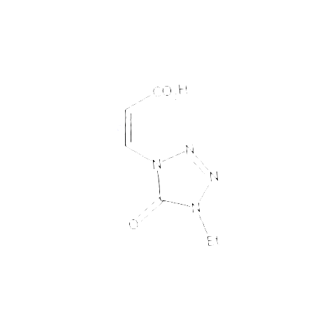 CCn1nnn(/C=C\C(=O)O)c1=O